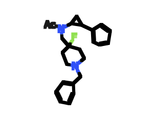 CC(=O)N(CC1(F)CCN(Cc2ccccc2)CC1)C1CC1c1ccccc1